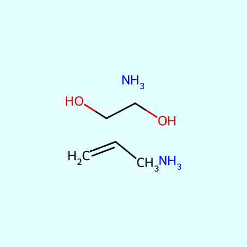 C=CC.N.N.OCCO